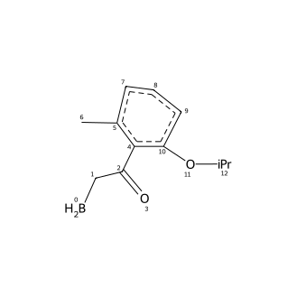 BCC(=O)c1c(C)cccc1OC(C)C